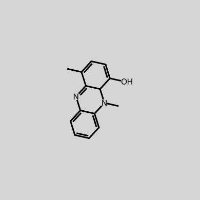 CC1=CC=C(O)C2C1=Nc1ccccc1N2C